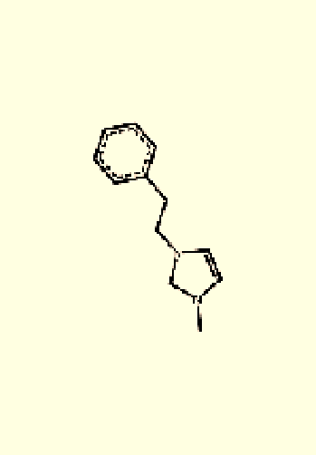 CN1C=CN(CCc2ccccc2)C1